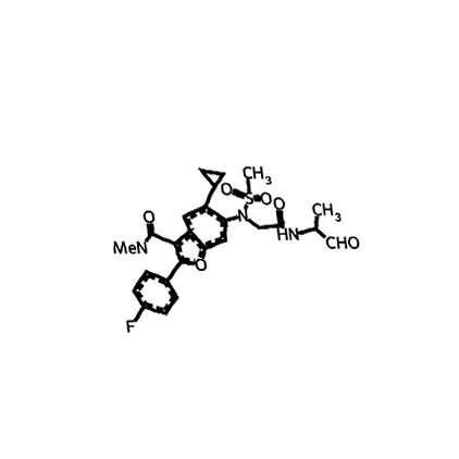 CNC(=O)c1c(-c2ccc(F)cc2)oc2cc(N(CC(=O)NC(C)C=O)S(C)(=O)=O)c(C3CC3)cc12